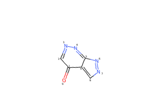 O=C1C=NN=C2N=NC=C12